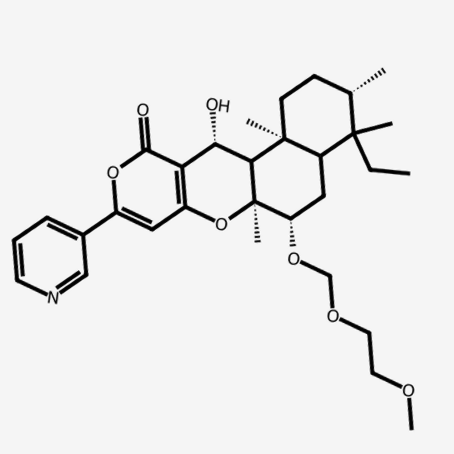 CCC1(C)C2C[C@H](OCOCCOC)[C@@]3(C)Oc4cc(-c5cccnc5)oc(=O)c4[C@H](O)C3[C@@]2(C)CC[C@@H]1C